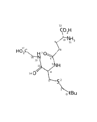 CC(C)(C)CSCC(NC(=O)CCC(N)C(=O)O)C(=O)NCC(=O)O